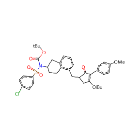 COc1ccc(C2=C(OCC(C)C)CC(Cc3cccc4c3CCC(N(C(=O)OC(C)(C)C)S(=O)(=O)c3ccc(Cl)cc3)C4)C2=O)cc1